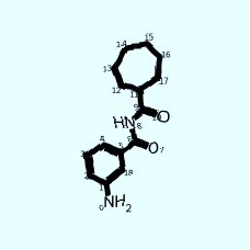 Nc1c[c]cc(C(=O)NC(=O)C2CCCCCC2)c1